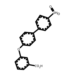 O=C(O)c1cccc(Oc2ccc(-c3ccc([SH](=O)=O)cc3)cc2)c1